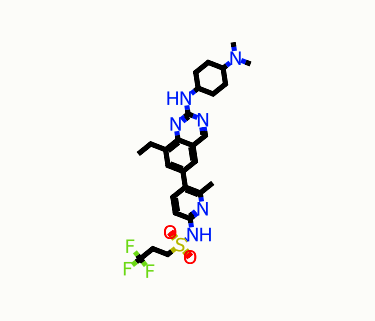 CCc1cc(-c2ccc(NS(=O)(=O)CCC(F)(F)F)nc2C)cc2cnc(NC3CCC(N(C)C)CC3)nc12